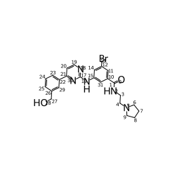 O=C(NCCN1CCCC1)c1cc(Br)cc(Nc2nccc(-c3cccc(CO)c3)n2)c1